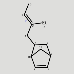 C/C=C(\CC)CC1CC2C=CC1C2